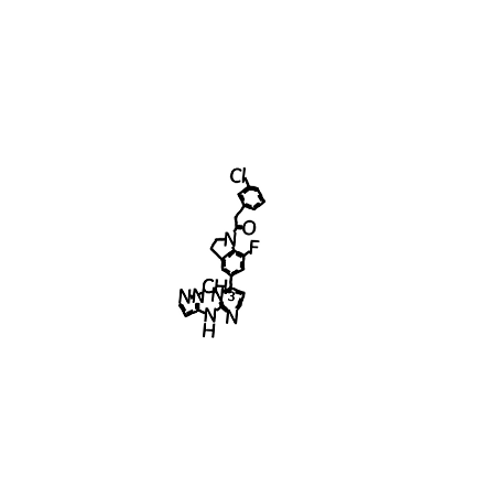 Cn1nccc1Nc1nccc(-c2cc(F)c3c(c2)CCN3C(=O)Cc2cccc(Cl)c2)n1